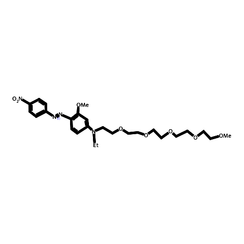 CCN(CCOCCOCCOCCOCCOC)c1ccc(/N=N/c2ccc([N+](=O)[O-])cc2)c(OC)c1